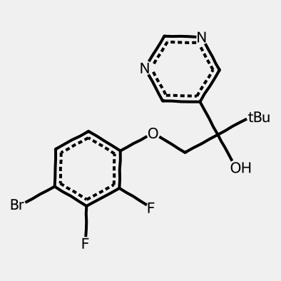 CC(C)(C)C(O)(COc1ccc(Br)c(F)c1F)c1cncnc1